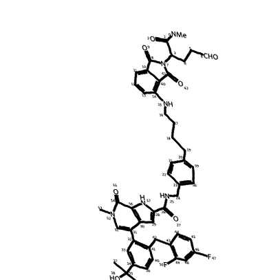 CNC(=O)C(CCC=O)N1C(=O)c2cccc(NCCCCc3ccc(CNC(=O)c4cc5c(-c6cc(C(C)(C)O)ccc6Cc6ccc(F)cc6F)cn(C)c(=O)c5[nH]4)cc3)c2C1=O